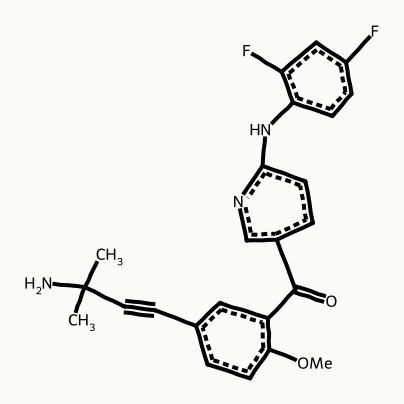 COc1ccc(C#CC(C)(C)N)cc1C(=O)c1ccc(Nc2ccc(F)cc2F)nc1